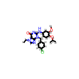 CCn1cnc2c1c(=O)nc(Nc1ccc(OC(C)C)c(OC)c1)n2Cc1ccc(Cl)cc1